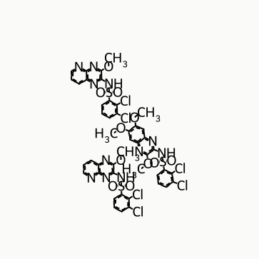 COc1cc2nc(NS(=O)(=O)c3cccc(Cl)c3Cl)c(OC)nc2cc1OC.COc1nc2cccnc2nc1NS(=O)(=O)c1cccc(Cl)c1Cl.COc1nc2ncccc2nc1NS(=O)(=O)c1cccc(Cl)c1Cl